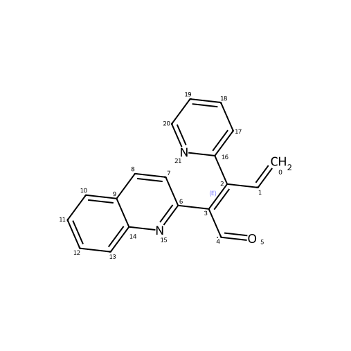 C=C/C(=C(\[C]=O)c1ccc2ccccc2n1)c1ccccn1